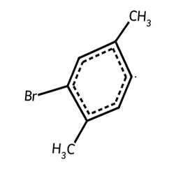 Cc1[c]cc(C)c(Br)c1